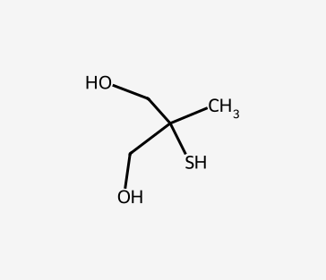 CC(S)(CO)CO